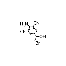 N#Cc1nc(C(O)CBr)cc(Cl)c1N